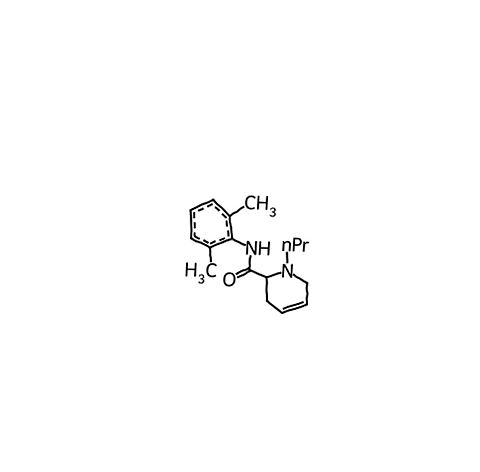 CCCN1CC=CCC1C(=O)Nc1c(C)cccc1C